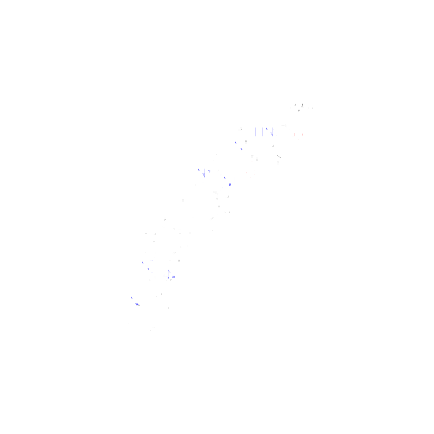 COC(=O)N[C@@H](C)C(=O)N1CCC[C@H]1c1nc2cc(-c3ccc4[nH]c([C@@H]5CCCN5)nc4c3)ccc2[nH]1